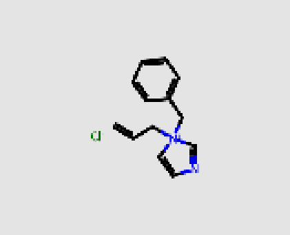 C=CC[N+]1(Cc2ccccc2)C=CN=C1.[Cl-]